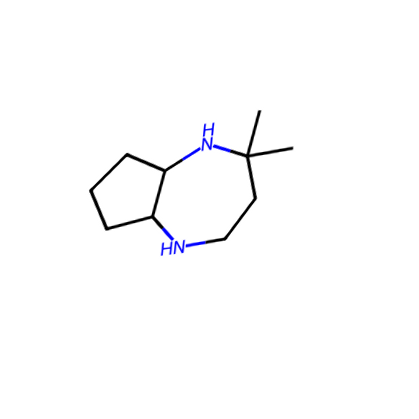 CC1(C)CCNC2CCCC2N1